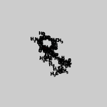 CCC[C@@H]1NC(=O)[C@@H]2C[C@@H](O)CN2C(=O)C(CC(N)=O)NC(=O)[C@@H]2C[S+]([O-])c3[nH]c4cc(NC(=O)CCCNP(=O)(NCCN5C(=O)C=CC5=O)NCCC(C)(C)OCC)ccc4c3C[C@H](NC1=O)C(=O)NCC(=O)N[C@@H]([C@@H](C)CC)C(=O)NCC(=O)N2